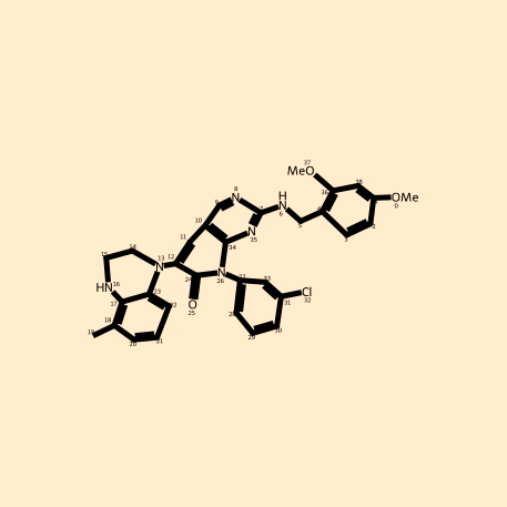 COc1ccc(CNc2ncc3cc(N4CCNc5c(C)cccc54)c(=O)n(-c4cccc(Cl)c4)c3n2)c(OC)c1